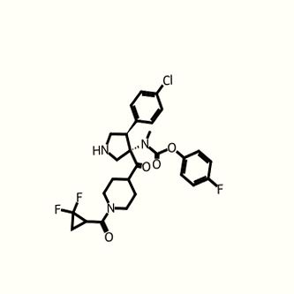 CN(C(=O)Oc1ccc(F)cc1)[C@]1(C(=O)C2CCN(C(=O)C3CC3(F)F)CC2)CNC[C@H]1c1ccc(Cl)cc1